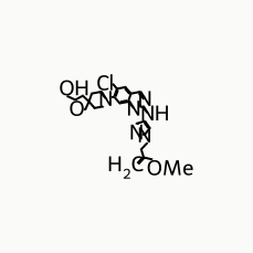 C=C(CCn1cc(Nc2ncc3cc(Cl)c(N4CCC5(CC4)COC(CO)C5)cc3n2)cn1)COC